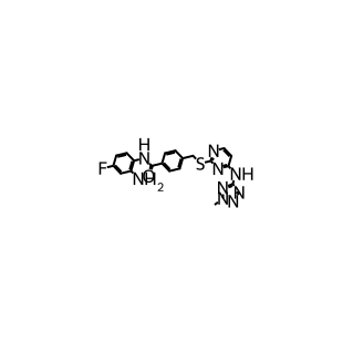 Cn1nnc(Nc2ccnc(SCc3ccc(C(=O)Nc4ccc(F)cc4N)cc3)n2)n1